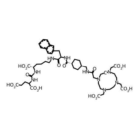 O=C(O)CCC(NC(=O)N[C@@H](CCCCNC(=O)C(Cc1ccc2ccccc2c1)NC(=O)[C@H]1CC[C@H](CNC(=O)CN2CCN(CC(=O)O)CCN(CC(=O)O)CCN(CC(=O)O)CC2)CC1)C(=O)O)C(=O)O